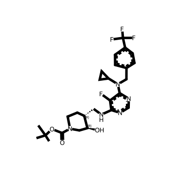 CC(C)(C)OC(=O)N1CC[C@H](CNc2ncnc(N(Cc3ccc(C(F)(F)F)cc3)C3CC3)c2F)[C@@H](O)C1